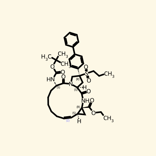 CCCS(=O)(=O)[C@@]1(c2ccc(-c3ccccc3)cc2)C[C@H]2C(=O)N[C@]3(C(=O)OCC)C[C@H]3/C=C\CCCCC[C@H](NC(=O)OC(C)(C)C)C(=O)N2C1